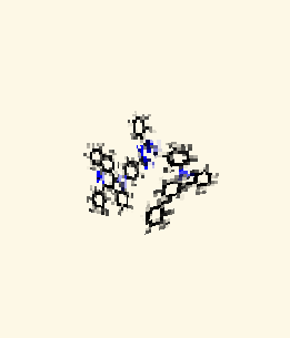 c1ccc(-c2ccc3c(c2)c2ccccc2n3-c2cccc(-c3nc(-c4ccccc4)nc(-c4ccc(-n5c6ccccc6c6c(-c7ccccc7)nc7c8ccccc8ccc7c65)cc4)n3)c2)cc1